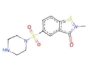 Cn1sc2ccc(S(=O)(=O)N3CCNCC3)cc2c1=O